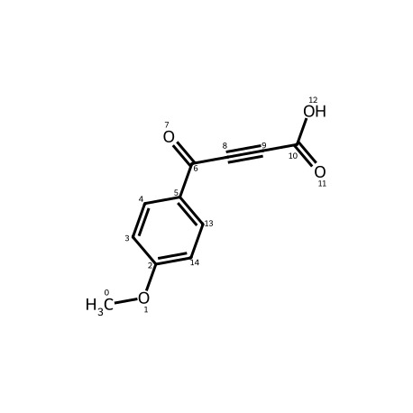 COc1ccc(C(=O)C#CC(=O)O)cc1